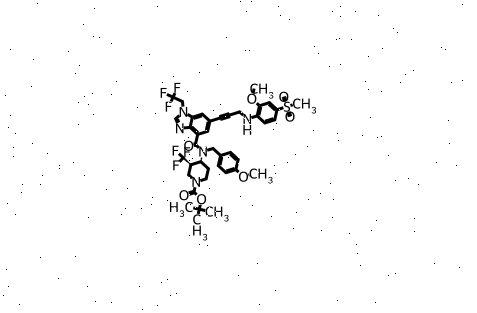 COc1ccc(CN(C(=O)c2cc(C#CCNc3ccc(S(C)(=O)=O)cc3OC)cc3c2ncn3CC(F)(F)F)[C@@H]2CCN(C(=O)OC(C)(C)C)C[C@H]2C(F)(F)F)cc1